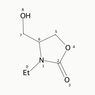 CCN1C(=O)OCC1CO